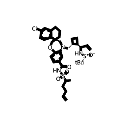 C=CCCC(C)S(=O)(=O)NC(=O)c1ccc2c(c1)N(C[C@@H]1CC[C@H]1C(C=C)N[S@+]([O-])C(C)(C)C)C[C@@]1(CCCc3cc(Cl)ccc31)CO2